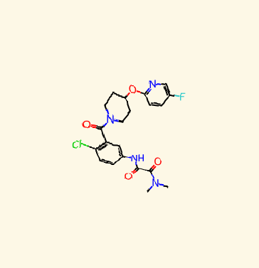 CN(C)C(=O)C(=O)Nc1ccc(Cl)c(C(=O)N2CCC(Oc3ccc(F)cn3)CC2)c1